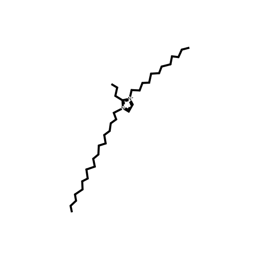 CCCCCCCCCCCCCCCCCCn1cc[n+](CCCCCCCCCCCC)c1CCC